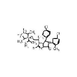 Cc1ccc(Cl)cc1N1C(=O)c2nc(Br)n(C(C)CO[Si](C(C)C)(C(C)C)C(C)C)c2C1c1ccc(Cl)cc1